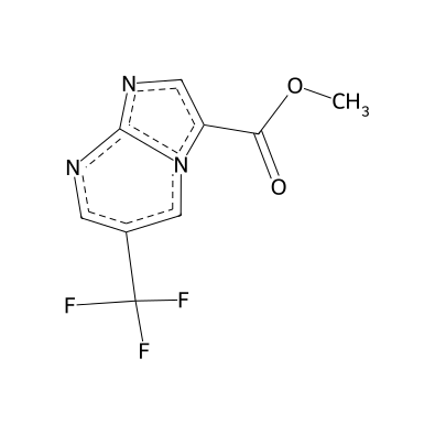 COC(=O)c1cnc2ncc(C(F)(F)F)cn12